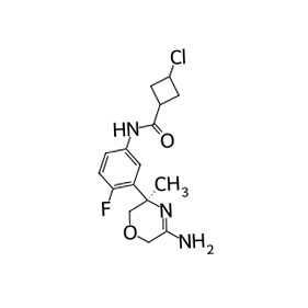 C[C@@]1(c2cc(NC(=O)C3CC(Cl)C3)ccc2F)COCC(N)=N1